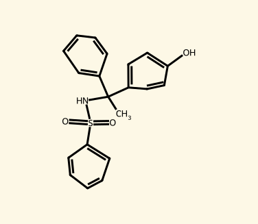 CC(NS(=O)(=O)c1ccccc1)(c1ccccc1)c1ccc(O)cc1